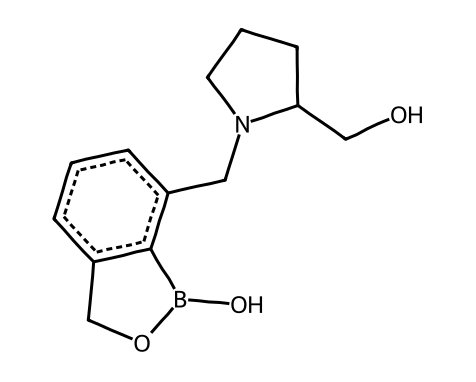 OCC1CCCN1Cc1cccc2c1B(O)OC2